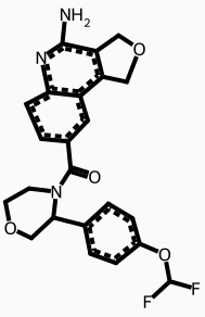 Nc1nc2ccc(C(=O)N3CCOCC3c3ccc(OC(F)F)cc3)cc2c2c1COC2